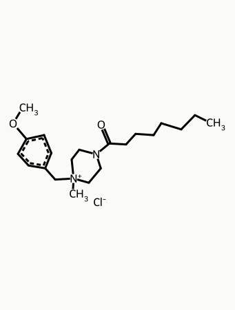 CCCCCCCC(=O)N1CC[N+](C)(Cc2ccc(OC)cc2)CC1.[Cl-]